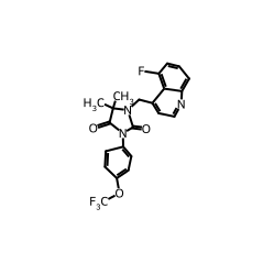 CC1(C)C(=O)N(c2ccc(OC(F)(F)F)cc2)C(=O)N1Cc1ccnc2cccc(F)c12